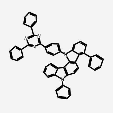 c1ccc(-c2nc(-c3ccccc3)nc(-c3ccc(-n4c5cccc(-c6ccccc6)c5c5ccc6c(c7ccccc7n6-c6ccccc6)c54)cc3)n2)cc1